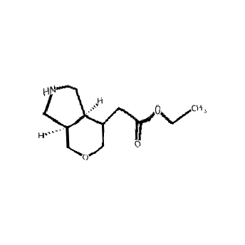 CCOC(=O)CC1COC[C@H]2CNC[C@@H]12